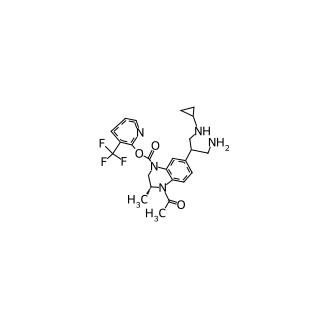 CC(=O)N1c2ccc(C(CN)CNC3CC3)cc2N(C(=O)Oc2ncccc2C(F)(F)F)C[C@@H]1C